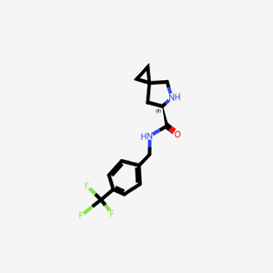 O=C(NCc1ccc(C(F)(F)F)cc1)[C@H]1CC2(CC2)CN1